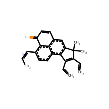 C=CC1=C(C=C)C(C)(C)c2cc3c4c(c(/C=C\C)ccc4c21)C(=P)C=C3